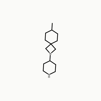 CC1CCC2(CC1)CN(C1CCNCC1)C2